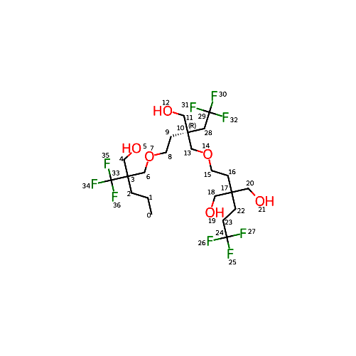 CCCC(CO)(COCC[C@@](CO)(COCCC(CO)(CO)CCC(F)(F)F)CC(F)(F)F)C(F)(F)F